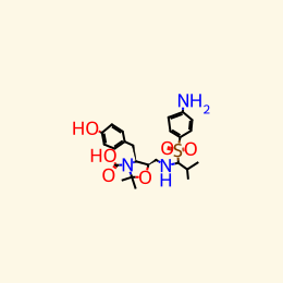 CC(C)C(NC[C@H]1OC(C)(C)N(C(=O)O)[C@H]1Cc1ccc(O)cc1)S(=O)(=O)c1ccc(N)cc1